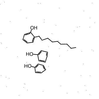 CCCCCCCCCc1ccccc1O.Oc1ccccc1.Oc1ccccc1